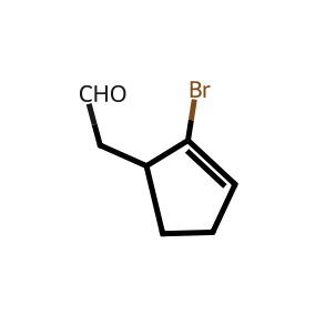 O=CCC1CCC=C1Br